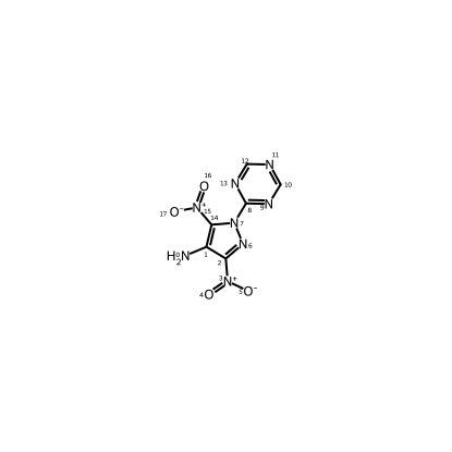 Nc1c([N+](=O)[O-])nn(-c2ncncn2)c1[N+](=O)[O-]